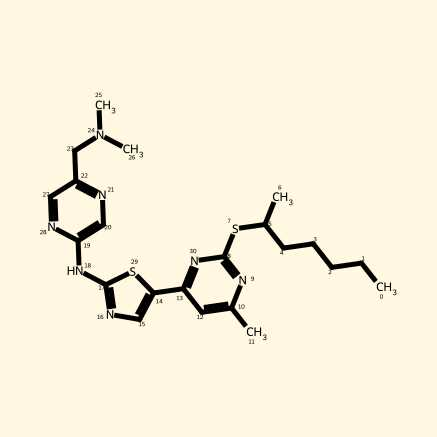 CCCCCC(C)Sc1nc(C)cc(-c2cnc(Nc3cnc(CN(C)C)cn3)s2)n1